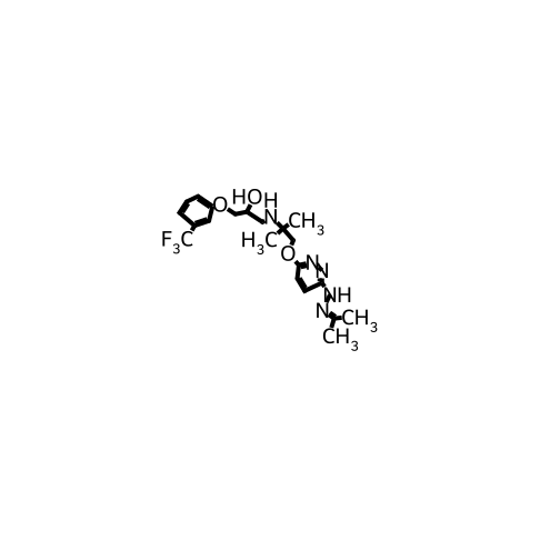 CC(C)=NNc1ccc(OCC(C)(C)NCC(O)COc2cccc(C(F)(F)F)c2)nn1